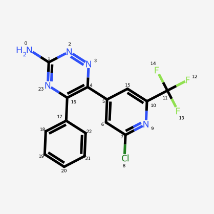 Nc1nnc(-c2cc(Cl)nc(C(F)(F)F)c2)c(-c2ccccc2)n1